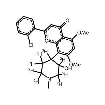 [2H]C1([2H])N(C)C([2H])([2H])C([2H])(O)C([2H])(c2c(OC)cc(OC)c3c(=O)cc(-c4ccccc4Cl)oc23)C1([2H])[2H]